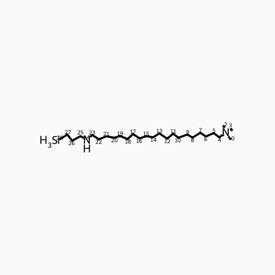 C[N+](C)(C)CCCCCCCCCCCCCCCCCCCCNCCC[SiH3]